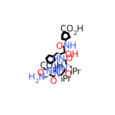 CC(C)C[C@H](NC(=O)[C@@H](NC(=O)[C@H](CN)NC(=O)C(=O)O)C(C)C)C(=O)N[C@@H](Cc1ccccc1)[C@@H](O)C(=O)Nc1ccc(C(=O)O)cc1